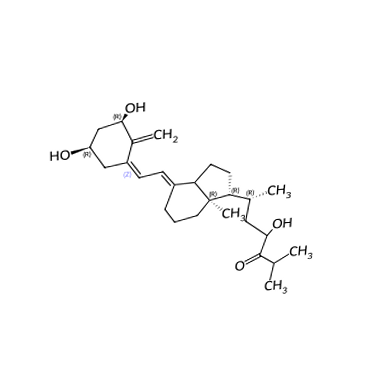 C=C1/C(=C\C=C2CCC[C@@]3(C)C2CC[C@@H]3[C@H](C)CC(O)C(=O)C(C)C)C[C@@H](O)C[C@H]1O